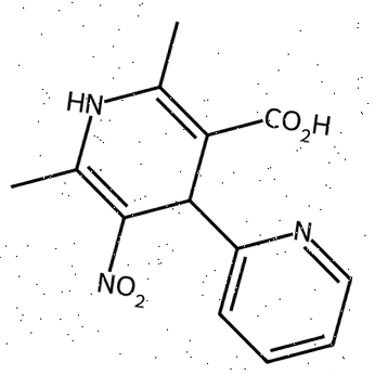 CC1=C(C(=O)O)C(c2ccccn2)C([N+](=O)[O-])=C(C)N1